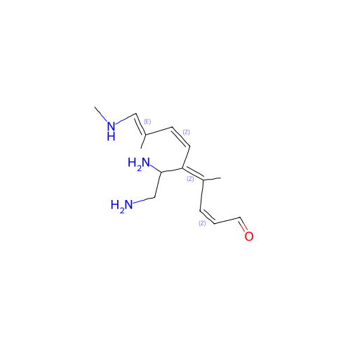 CN/C=C(C)/C=C\C(=C(C)\C=C/C=O)C(N)CN